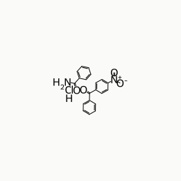 Cl.NC(=O)c1ccccc1.O=C(c1ccccc1)c1ccc([N+](=O)[O-])cc1